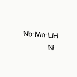 [LiH].[Mn].[Nb].[Ni]